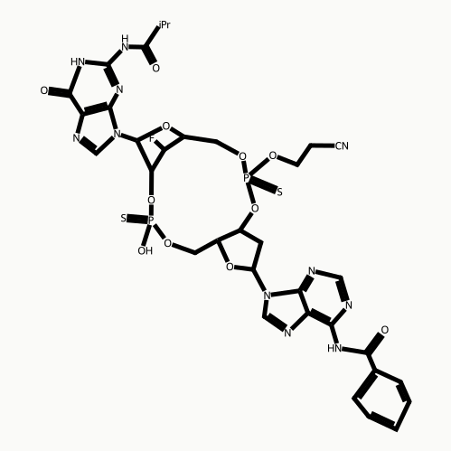 CC(C)C(=O)Nc1nc2c(ncn2C2OC3COP(=S)(OCCC#N)OC4CC(n5cnc6c(NC(=O)c7ccccc7)ncnc65)OC4COP(O)(=S)OC2C3F)c(=O)[nH]1